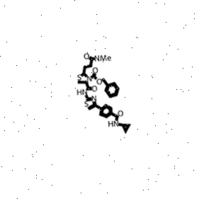 CNC(=O)CCC1SCC(C(=O)Nc2nc(-c3ccc(C(=O)NC4CC4)cc3)cs2)N1C(=O)OCc1ccccc1